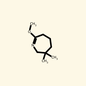 COC1=NCC(C)(C)CCC1